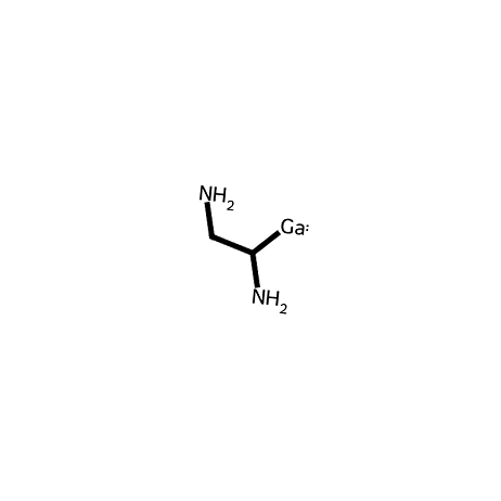 NC[CH](N)[Ga]